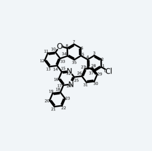 Clc1ccc(-c2ccc3oc4cccc(-c5cc(-c6ccccc6)nc(-c6ccccc6)n5)c4c3c2)cc1